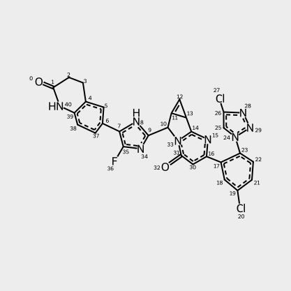 O=C1CCc2cc(-c3[nH]c(C4C5=CC5c5nc(-c6cc(Cl)ccc6-n6cc(Cl)nn6)cc(=O)n54)nc3F)ccc2N1